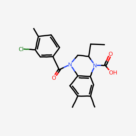 CCC1CN(C(=O)c2ccc(C)c(Cl)c2)c2cc(C)c(C)cc2N1C(=O)O